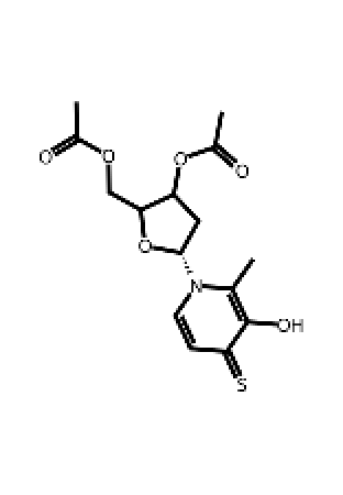 CC(=O)OCC1O[C@@H](n2ccc(=S)c(O)c2C)CC1OC(C)=O